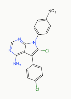 Nc1ncnc2c1c(-c1ccc(Cl)cc1)c(Cl)n2-c1ccc([N+](=O)[O-])cc1